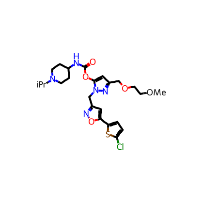 COCCOCc1cc(OC(=O)NC2CCN(C(C)C)CC2)n(Cc2cc(-c3ccc(Cl)s3)on2)n1